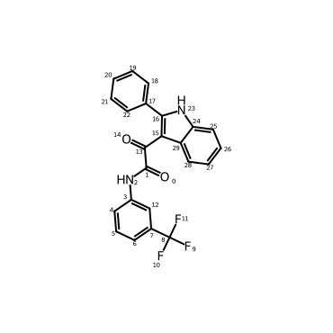 O=C(Nc1cccc(C(F)(F)F)c1)C(=O)c1c(-c2ccccc2)[nH]c2ccccc12